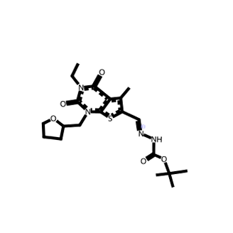 CCn1c(=O)c2c(C)c(/C=N/NC(=O)OC(C)(C)C)sc2n(CC2CCCO2)c1=O